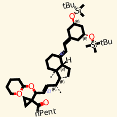 CCCCCC(=O)C1(C(/C=C/[C@@H](C)[C@H]2CC[C@H]3/C(=C/C=C4C[C@@H](O[Si](C)(C)C(C)(C)C)C[C@H](O[Si](C)(C)C(C)(C)C)C4)CCC[C@]23C)OC2CCCCO2)CC1